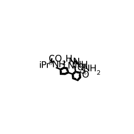 CC(C)[C@H](NCc1ccc(-c2cccc(S(N)(=O)=O)c2-c2nnn[nH]2)cc1)C(=O)O